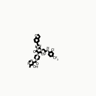 CCc1c(N2CCN(C(=O)c3ncnc(C)c3O)CC2)c(=O)n2nc(-c3ccc4c(c3)CCO4)nc2n1CC(=O)Nc1ccc(C(F)(F)F)cc1Cl